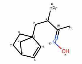 CCCC(CC12C=CC(CC1)C2)C(C)=NO